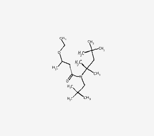 CCOC(C)CC(=O)N(CC(C)(C)C)C(C)(C)CC(C)(C)C